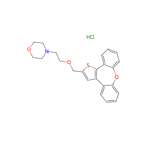 Cl.c1ccc2c(c1)Oc1ccccc1-c1sc(COCCN3CCOCC3)cc1-2